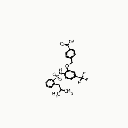 CC(C)Cc1ccccc1S(=O)(=O)Nc1ccc(C(F)(F)F)cc1OCc1ccc(C(=O)O)cc1